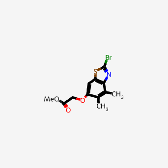 COC(=O)COc1cc2sc(Br)nc2c(C)c1C